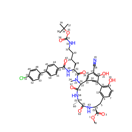 COC(=O)[C@@H]1Cc2ccc(O)c(c2)-c2cc(cc(C#N)c2O)[C@H](N(C)C(=O)[C@H](CCCCNC(=O)OC(C)(C)C)NC(=O)c2ccc(-c3ccc(Cl)cc3)cc2)C(=O)N[C@@H](C)C(=O)N1